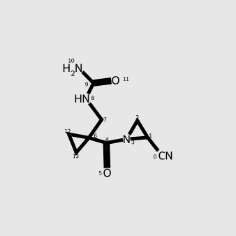 N#CC1CN1C(=O)C1(CNC(N)=O)CC1